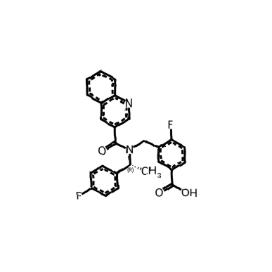 C[C@H](c1ccc(F)cc1)N(Cc1cc(C(=O)O)ccc1F)C(=O)c1cnc2ccccc2c1